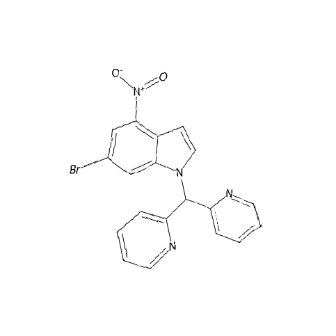 O=[N+]([O-])c1cc(Br)cc2c1ccn2C(c1ccccn1)c1ccccn1